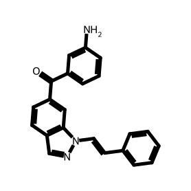 Nc1cccc(C(=O)c2ccc3cnn(C=Cc4ccccc4)c3c2)c1